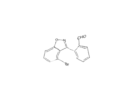 O=Cc1ccccc1-c1noc2cccc(Br)c12